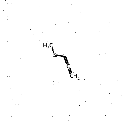 C=C=CSC